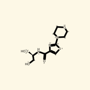 O=C(N[C@@H](CO)C(=O)O)c1csc(N2CCOCC2)n1